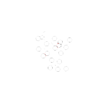 CC(C)(C)c1ccc(N2c3ccc(-c4ccc([Si](c5ccccc5)(c5ccccc5)c5cccc(-c6ccccc6)c5)cc4)cc3B3c4ccc([Si](c5ccccc5)(c5ccccc5)c5cccc(-c6ccccc6)c5)cc4N(c4ccc(C(C)(C)C)cc4-c4ccccc4)c4cc(-n5c6c(c7ccccc75)C=CCC6)cc2c43)c(-c2ccccc2)c1